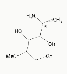 COC(CO)C(O)C(O)[C@@H](C)N